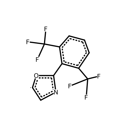 FC(F)(F)c1cccc(C(F)(F)F)c1-c1nc[c]o1